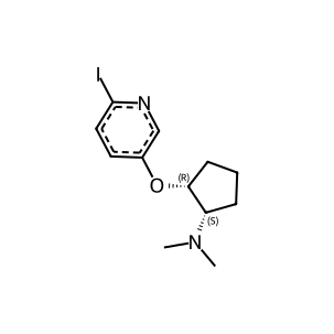 CN(C)[C@H]1CCC[C@H]1Oc1ccc(I)nc1